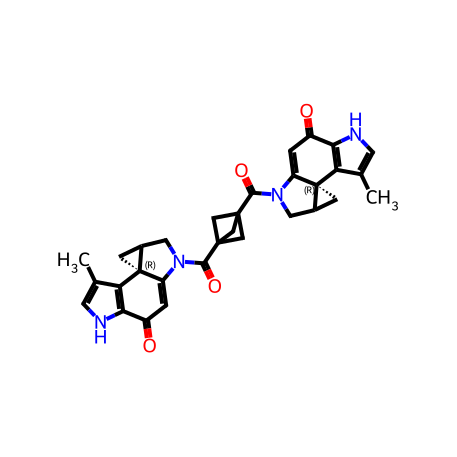 Cc1c[nH]c2c1[C@@]13CC1CN(C(=O)C14CC(C(=O)N5CC6C[C@@]67C5=CC(=O)c5[nH]cc(C)c57)(C1)C4)C3=CC2=O